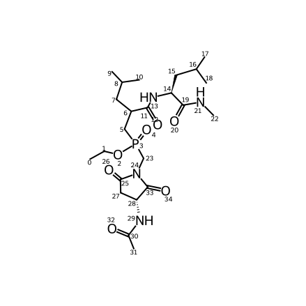 CCOP(=O)(CC(CC(C)C)C(=O)N[C@@H](CC(C)C)C(=O)NC)CN1C(=O)C[C@@H](NC(C)=O)C1=O